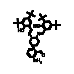 CC(C)(C)c1cc(C=N[C@@H]2CCCC[C@H]2N=Cc2cc(C(C)(C)C)cc(C(C)(C)C)c2O)c(O)c(C(C)(C)C)c1.O=Cc1ccccn1.[InH3]